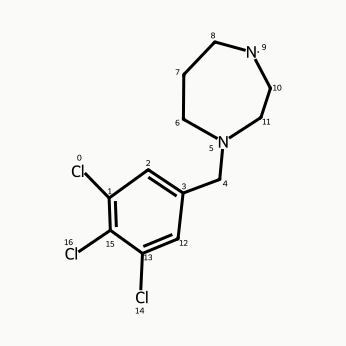 Clc1cc(CN2CCC[N]CC2)cc(Cl)c1Cl